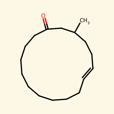 CC1CC/C=C/CCCCCCCCCC(=O)C1